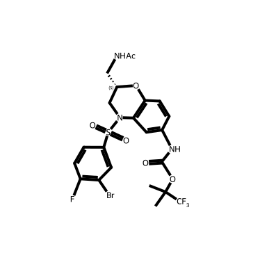 CC(=O)NC[C@H]1CN(S(=O)(=O)c2ccc(F)c(Br)c2)c2cc(NC(=O)OC(C)(C)C(F)(F)F)ccc2O1